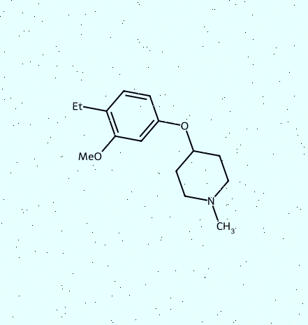 CCc1ccc(OC2CCN(C)CC2)cc1OC